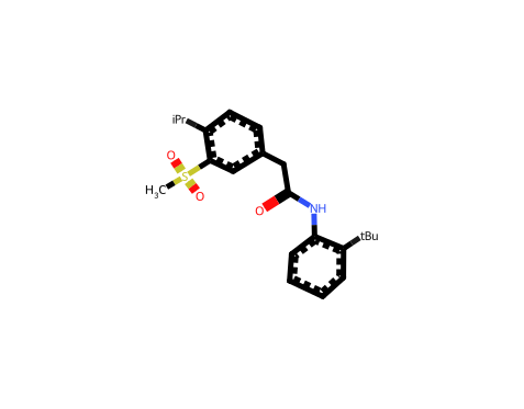 CC(C)c1ccc(CC(=O)Nc2ccccc2C(C)(C)C)cc1S(C)(=O)=O